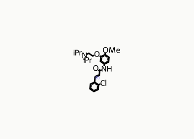 COc1ccc(NC(=O)/C=C/c2ccccc2Cl)cc1OCCN(C(C)C)C(C)C